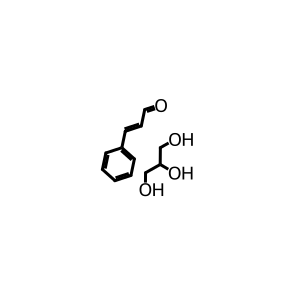 O=CC=Cc1ccccc1.OCC(O)CO